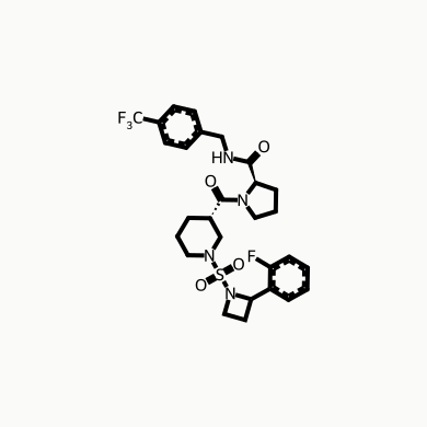 O=C(NCc1ccc(C(F)(F)F)cc1)[C@H]1CCCN1C(=O)[C@H]1CCCN(S(=O)(=O)N2CCC2c2ccccc2F)C1